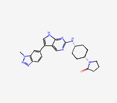 Cn1nnc2ccc(-c3c[nH]c4nc(N[C@H]5CC[C@@H](N6CCCC6=O)CC5)ncc34)cc21